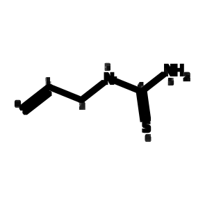 C=CC[N]C(N)=S